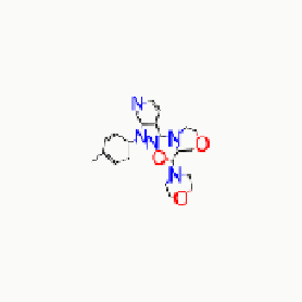 Cc1ccc(-n2nc(N3CCOCC3C(=O)N3CCOCC3)c3ccncc32)cc1